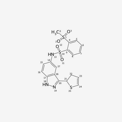 CS(=O)(=O)c1ccccc1S(=O)(=O)Nc1ccc2[nH]nc(C3CC=CS3)c2c1